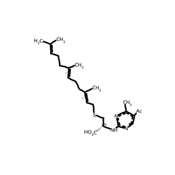 CC(=O)c1cnc(N[C@@H](CSC/C=C(\C)CC/C=C(\C)CCC=C(C)C)C(=O)O)nc1C